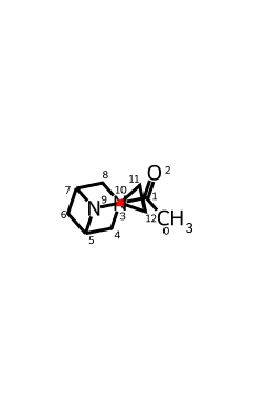 CC(=O)N1CC2CC(C1)N2C1CC1